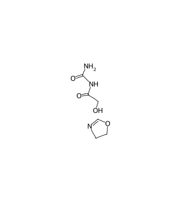 C1=NCCO1.NC(=O)NC(=O)CO